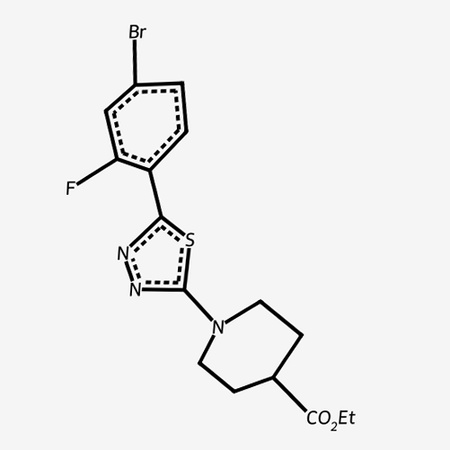 CCOC(=O)C1CCN(c2nnc(-c3ccc(Br)cc3F)s2)CC1